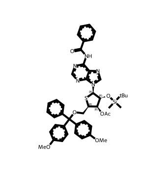 COc1ccc(C(OC[C@H]2S[C@@H](n3cnc4c(NC(=O)c5ccccc5)ncnc43)[C@H](O[Si](C)(C)C(C)(C)C)[C@H]2OC(C)=O)(c2ccccc2)c2ccc(OC)cc2)cc1